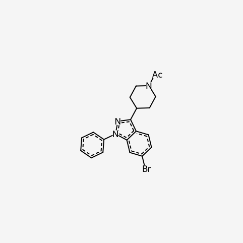 CC(=O)N1CCC(c2nn(-c3ccccc3)c3cc(Br)ccc23)CC1